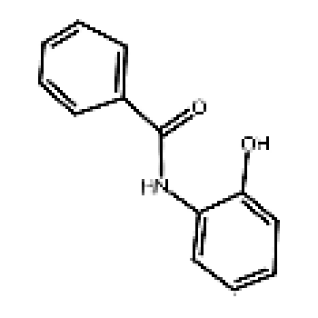 O=C(Nc1c[c]ccc1O)c1ccccc1